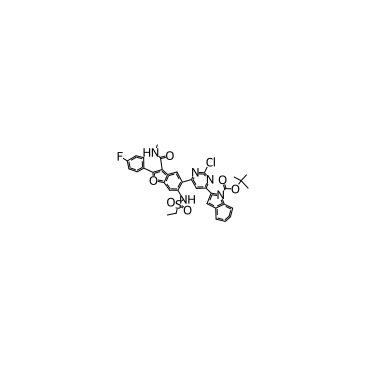 CCS(=O)(=O)Nc1cc2oc(-c3ccc(F)cc3)c(C(=O)NC)c2cc1-c1cc(-c2cc3ccccc3n2C(=O)OC(C)(C)C)nc(Cl)n1